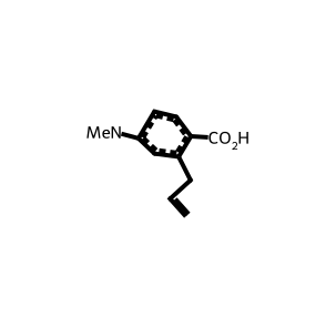 C=CCc1cc(NC)ccc1C(=O)O